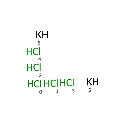 Cl.Cl.Cl.Cl.Cl.[KH].[KH]